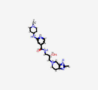 CC(=O)N1CCC(Nc2cc(C(=O)NC[C@H](O)CN3CCc4nc(C)[nH]c4C3)ccn2)CC1